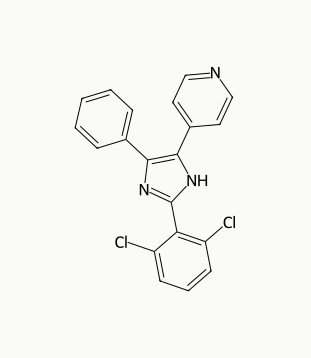 Clc1cccc(Cl)c1-c1nc(-c2ccccc2)c(-c2ccncc2)[nH]1